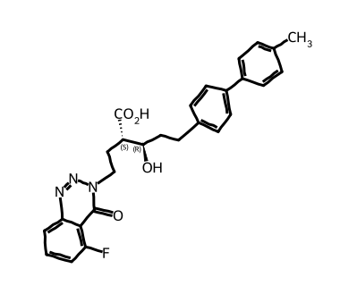 Cc1ccc(-c2ccc(CC[C@@H](O)[C@H](CCn3nnc4cccc(F)c4c3=O)C(=O)O)cc2)cc1